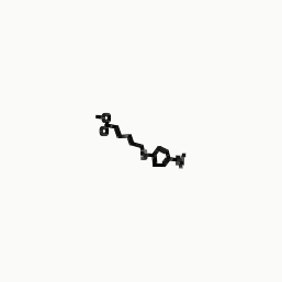 COC(=O)C=CC=CCSc1ccc(N(C)C)cc1